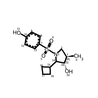 C[C@@H]1CN(S(=O)(=O)c2ccc(O)cc2)C(C2CCC2)[C@H]1O